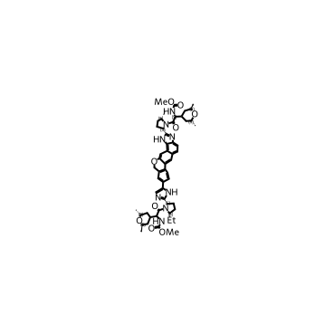 CC[C@H]1CC[C@@H](c2ncc(-c3ccc4c(c3)COc3cc5c(ccc6nc([C@@H]7CC[C@H](C)N7C(=O)[C@@H](NC(=O)OC)C7C[C@@H](C)O[C@H](C)C7)[nH]c65)cc3-4)[nH]2)N1C(=O)C(NC(=O)OC)C1C[C@@H](C)O[C@H](C)C1